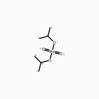 CC(C)[O][Mo](=[O])(=[O])[O]C(C)C